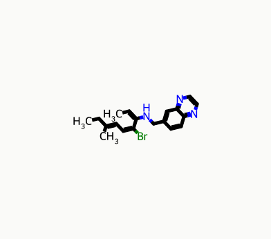 C\C=C(NCc1ccc2nccnc2c1)/C(Br)=C\C=C(/C)CC